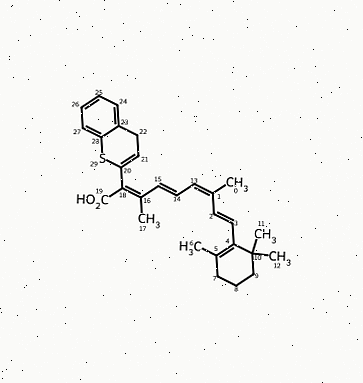 CC(C=CC1=C(C)CCCC1(C)C)=CC=CC(C)=C(C(=O)O)C1=CCc2ccccc2S1